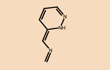 C=N/C=C1/C=CC=NN1